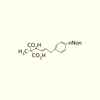 CCCCCCCCCc1ccc(CC=CCC(C)(C(=O)O)C(=O)O)cc1